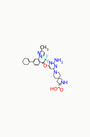 Cc1ccn(-c2cc(C3=CCCCC3)ccc2[C@@H](Oc2cc(N3CCC4(CC3)CN[C@H](C(=O)O)C4)nc(N)n2)C(F)(F)F)n1